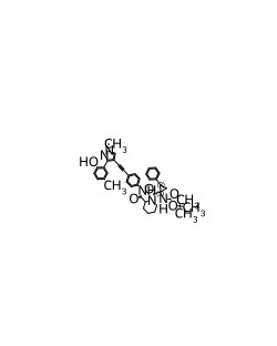 Cc1ccc(O)c(-c2nn(C)cc2C#Cc2ccc(NC(=O)C3CCCCN3C(=O)[C@]3(NC(=O)OC(C)(C)C)C[C@@H]3c3ccccc3)cc2)c1